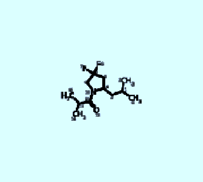 CC(C)CC1CC(F)(F)CN1C(=O)C(C)C